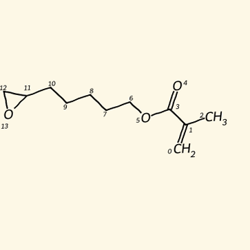 C=C(C)C(=O)OCCCCCC1CO1